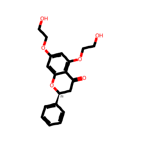 O=C1C[C@@H](c2ccccc2)Oc2cc(OCCO)cc(OCCO)c21